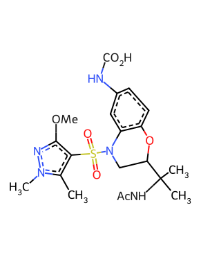 COc1nn(C)c(C)c1S(=O)(=O)N1CC(C(C)(C)NC(C)=O)Oc2ccc(NC(=O)O)cc21